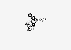 CCOC(=O)[C@H]1CC2(CCN(C3CCCCC3)CC2)CN1Cc1ccc(CN(Cc2ncc[nH]2)Cc2nccn2C)cc1